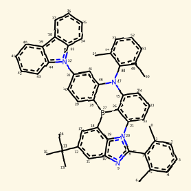 Cc1cccc(C)c1-c1nc2cc(C(C)(C)C)cc3c2n1-c1cccc2c1B3c1ccc(-n3c4ccccc4c4ccccc43)cc1N2c1c(C)cccc1C